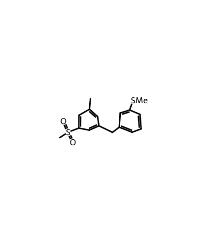 CSc1cccc(Cc2cc(C)cc(S(C)(=O)=O)c2)c1